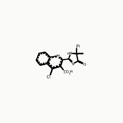 CC(C)C1(C)NC(c2nc3ccccc3c(Cl)c2C(=O)O)=NC1=O